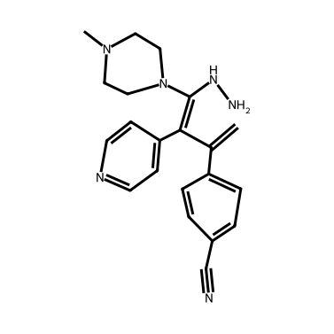 C=C(/C(=C(\NN)N1CCN(C)CC1)c1ccncc1)c1ccc(C#N)cc1